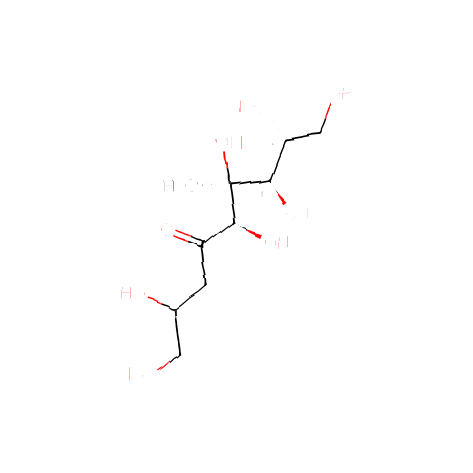 C[C@](O)([C@H](O)[C@H](O)CO)[C@@H](O)C(=O)CC(O)CO